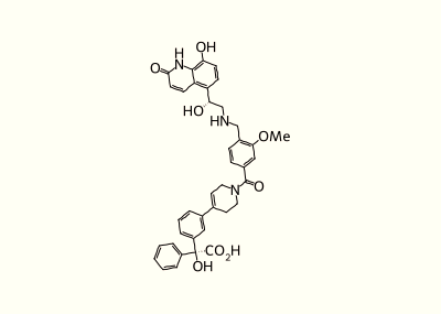 COc1cc(C(=O)N2CC=C(c3cccc([C@](O)(C(=O)O)c4ccccc4)c3)CC2)ccc1CNC[C@H](O)c1ccc(O)c2[nH]c(=O)ccc12